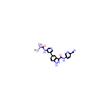 CN(C)C(=O)Nc1cncc(-c2ccc3[nH]nc(C(=O)Nc4ccc(C#N)nc4)c3c2)c1